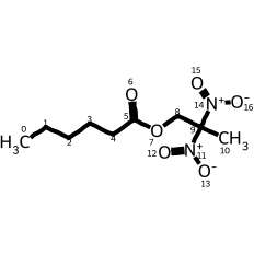 CCCCCC(=O)OCC(C)([N+](=O)[O-])[N+](=O)[O-]